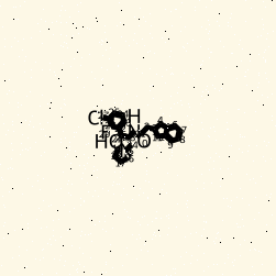 O=C(CC1Cc2ccccc2C1)N[C@H](CN1CCCC1)[C@H](O)c1cccc(Cl)c1F